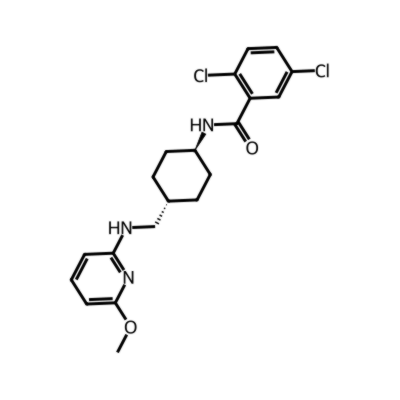 COc1cccc(NC[C@H]2CC[C@H](NC(=O)c3cc(Cl)ccc3Cl)CC2)n1